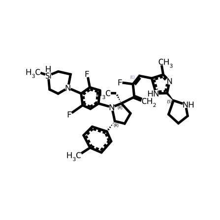 C=C(/C(F)=C\c1[nH]c([C@@H]2CCCN2)nc1C)[C@@]1(CC)CC[C@H](c2ccc(C)cc2)N1c1cc(F)c(N2CC[SiH](C)CC2)c(F)c1